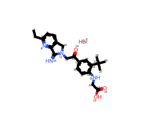 Br.CCc1ccc2c(n1)C(=N)N(CC(=O)c1ccc(NCC(=O)O)c(C(C)(C)C)c1)C2